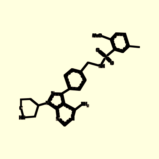 COc1ccc(C)cc1S(=O)(=O)NCc1ccc(-c2nn(C3CCCNC3)c3ncnc(N)c23)cc1